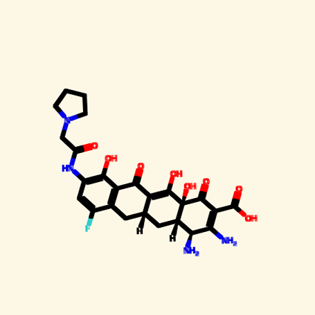 NC1=C(C(=O)O)C(=O)[C@@]2(O)C(O)=C3C(=O)c4c(O)c(NC(=O)CN5CCCC5)cc(F)c4C[C@H]3C[C@H]2[C@@H]1N